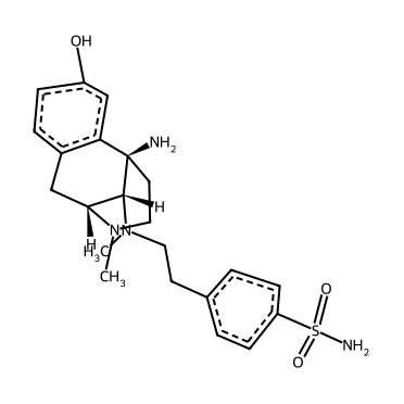 CN1CC[C@@]2(N)c3cc(O)ccc3C[C@@H]1[C@H]2N(C)CCc1ccc(S(N)(=O)=O)cc1